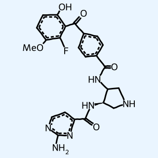 COc1ccc(O)c(C(=O)c2ccc(C(=O)NC3CNC[C@H]3NC(=O)c3ccnc(N)n3)cc2)c1F